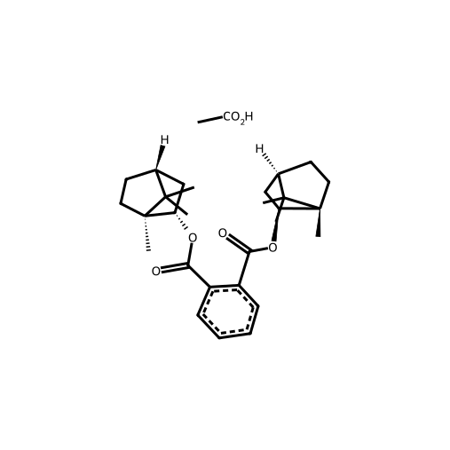 CC(=O)O.CC1(C)[C@@H]2CC[C@]1(C)[C@@H](OC(=O)c1ccccc1C(=O)O[C@H]1C[C@H]3CC[C@@]1(C)C3(C)C)C2